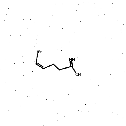 CC(=N)CC/C=C\C(C)C